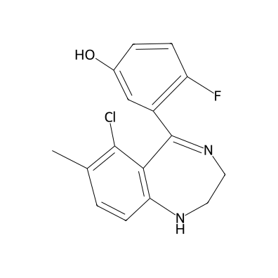 Cc1ccc2c(c1Cl)C(c1cc(O)ccc1F)=NCCN2